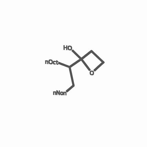 CCCCCCCCCCC(CCCCCCCC)C1(O)CCO1